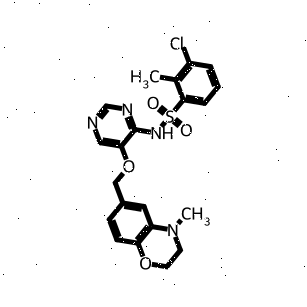 Cc1c(Cl)cccc1S(=O)(=O)Nc1ncncc1OCc1ccc2c(c1)N(C)CCO2